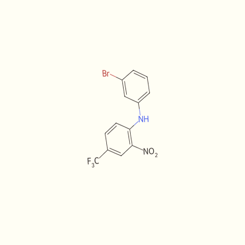 O=[N+]([O-])c1cc(C(F)(F)F)ccc1Nc1cccc(Br)c1